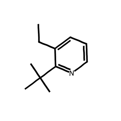 CCc1cccnc1C(C)(C)C